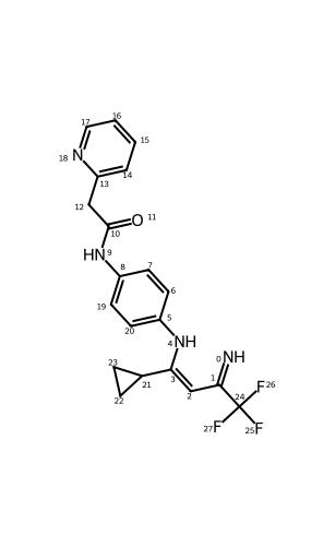 N=C(/C=C(\Nc1ccc(NC(=O)Cc2ccccn2)cc1)C1CC1)C(F)(F)F